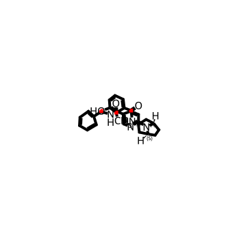 Cc1c(O)cccc1C(=O)N[C@H]1C[C@H]2CC[C@@H](C1)N2c1ccc(C(=O)NCc2ccccc2)cn1